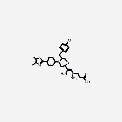 Cc1nc(C2CCC(N3CC(/C(N)=C/N(N)CCC(=O)O)OCC3Cc3ccc(Cl)cc3)CC2)sc1C